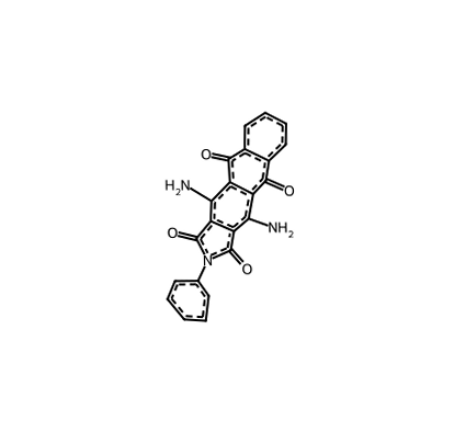 Nc1c2c(=O)c3ccccc3c(=O)c2c(N)c2c(=O)n(-c3ccccc3)c(=O)c12